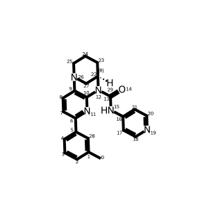 Cc1cccc(-c2ccc3c(n2)N(C(=O)Nc2ccncc2)[C@@H]2CCCN3C2)c1